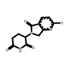 O=C1CCC(N2Cc3nc(Cl)ccc3C2=O)C(=O)N1